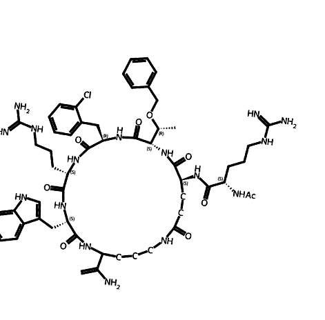 C=C(N)C1CCCNC(=O)CC[C@H](NC(=O)[C@H](CCCNC(=N)N)NC(C)=O)C(=O)N[C@@H]([C@@H](C)OCc2ccccc2)C(=O)N[C@H](Cc2ccccc2Cl)C(=O)N[C@@H](CCCNC(=N)N)C(=O)N[C@@H](Cc2c[nH]c3ccccc23)C(=O)N1